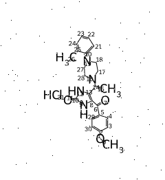 COc1ccc(C(=O)c2[nH]c(=O)[nH]c2C(C)N2CCN(c3ccccc3C)CC2)cc1.Cl